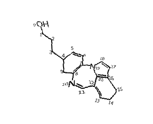 OCCCC1C=CC2=C(C1)N=CC1=CCCc3ccn2c31